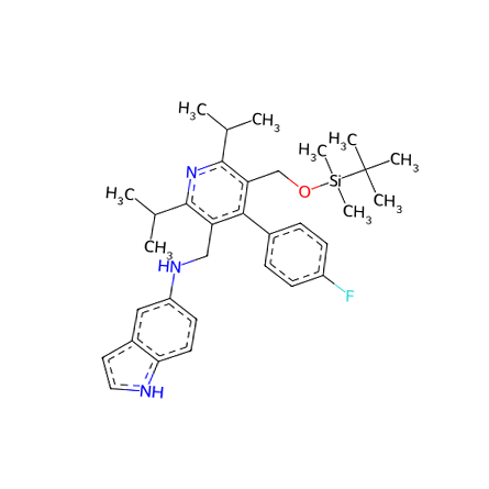 CC(C)c1nc(C(C)C)c(CO[Si](C)(C)C(C)(C)C)c(-c2ccc(F)cc2)c1CNc1ccc2[nH]ccc2c1